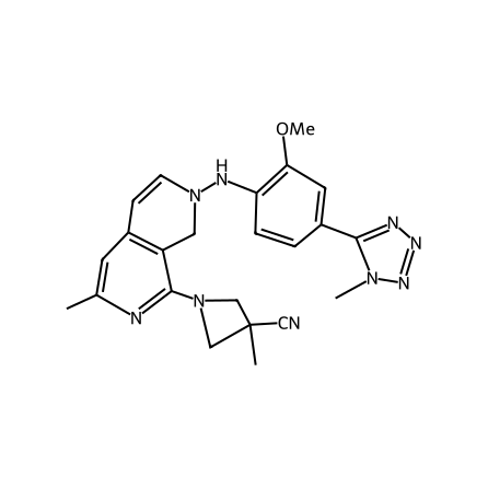 COc1cc(-c2nnnn2C)ccc1NN1C=Cc2cc(C)nc(N3CC(C)(C#N)C3)c2C1